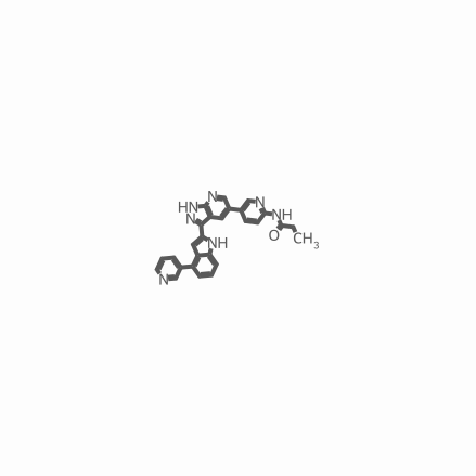 CCC(=O)Nc1ccc(-c2cnc3[nH]nc(-c4cc5c(-c6cccnc6)cccc5[nH]4)c3c2)cn1